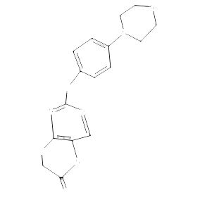 O=C1CSc2nc(Oc3ccc(N4CCNCC4)cc3)ncc2N1